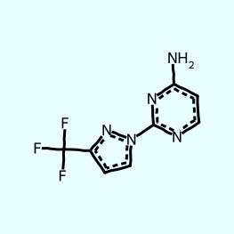 Nc1ccnc(-n2ccc(C(F)(F)F)n2)n1